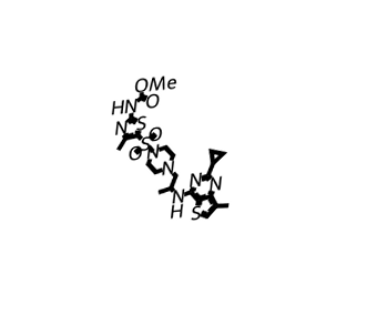 COC(=O)Nc1nc(C)c(S(=O)(=O)N2CCN(CC(C)Nc3nc(C4CC4)nc4c(C)csc34)CC2)s1